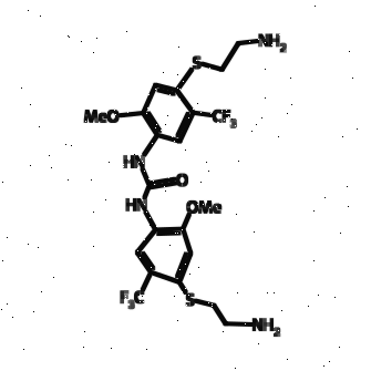 COc1cc(SCCN)c(C(F)(F)F)cc1NC(=O)Nc1cc(C(F)(F)F)c(SCCN)cc1OC